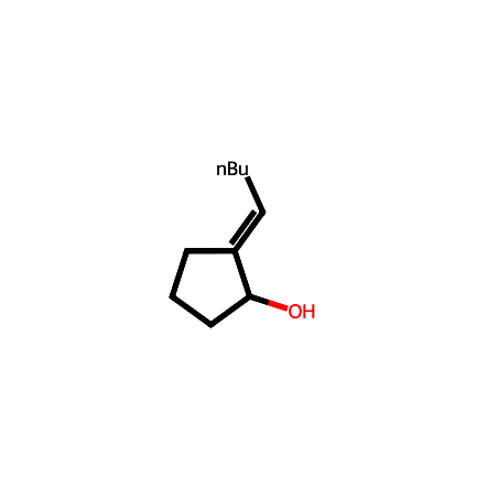 CCCC/C=C1\CCCC1O